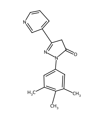 Cc1cc(N2N=C(c3cccnc3)CC2=O)cc(C)c1C